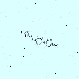 CC(=O)N1CCN(c2ccc(CC[SH]=CS)cc2)CC1